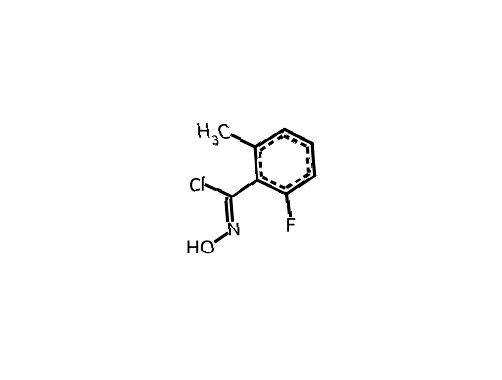 Cc1cccc(F)c1C(Cl)=NO